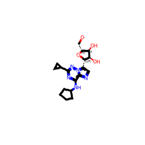 [O]C[C@H]1O[C@@H](c2cnc3c(NC4CCCC4)nc(C4CC4)nn23)[C@H](O)[C@@H]1O